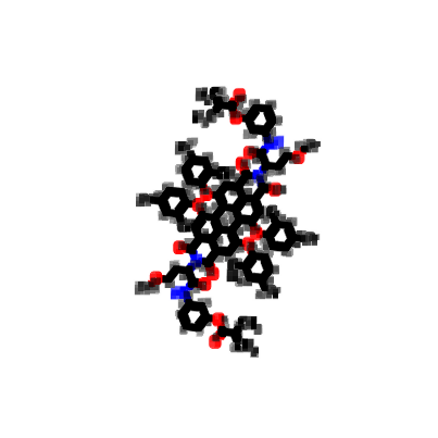 C=C(C)C(=O)Oc1cccc(NC(=O)C(CCOC(C)C)N2C(=O)c3cc(Oc4ccc(C(C)C)cc4C)c4c5c(Oc6ccc(C(C)C)cc6C)cc6c7c(cc(Oc8ccc(C(C)C)cc8C)c(c8c(Oc9ccc(C(C)C)cc9C)cc(c3c48)C2=O)c75)C(=O)N(C(CCOC(C)C)C(=O)Nc2cccc(OC(=O)C(=C)C)c2)C6=O)c1